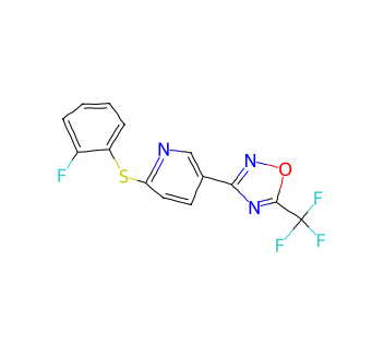 Fc1ccccc1Sc1ccc(-c2noc(C(F)(F)F)n2)cn1